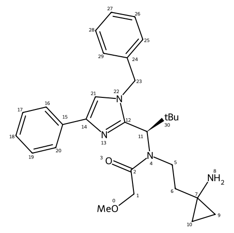 COCC(=O)N(CCC1(N)CC1)[C@@H](c1nc(-c2ccccc2)cn1Cc1ccccc1)C(C)(C)C